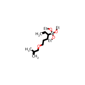 C=CC(CCCOCC(=C)C)[Si](OCC)(OCC)OCC